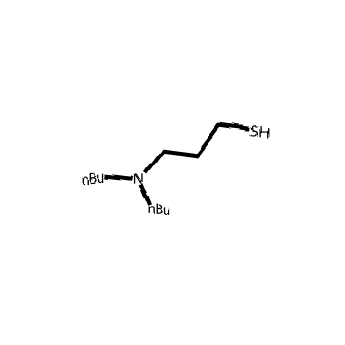 CCCCN(CCCC)CCCS